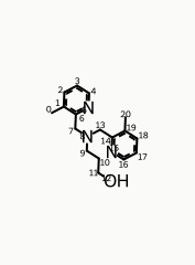 Cc1cccnc1CN(CCCO)Cc1ncccc1C